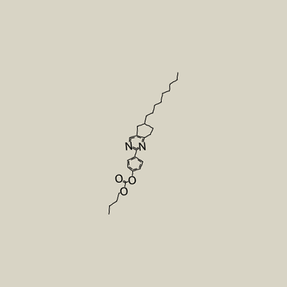 CCCCCCCCCC1CCc2nc(-c3ccc(OC(=O)OCCCC)cc3)ncc2C1